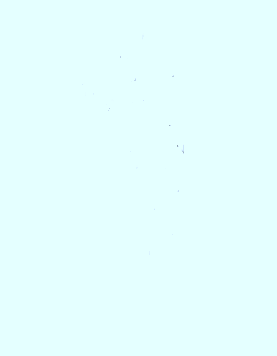 CCCCCCCc1cc2c(cn1)C(C1CCCC1)C(=O)O2